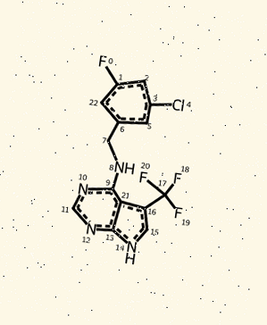 Fc1cc(Cl)cc(CNc2ncnc3[nH]cc(C(F)(F)F)c23)c1